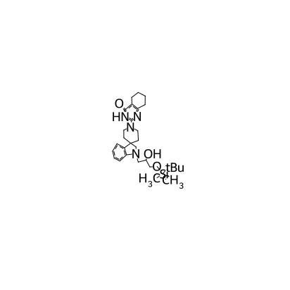 CC(C)(C)[Si](C)(C)OC[C@H](O)CN1CC2(CCN(c3nc4c(c(=O)[nH]3)CCCC4)CC2)c2ccccc21